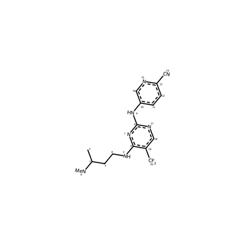 CNC(C)CCNc1nc(Nc2ccc(C#N)nc2)ncc1C(F)(F)F